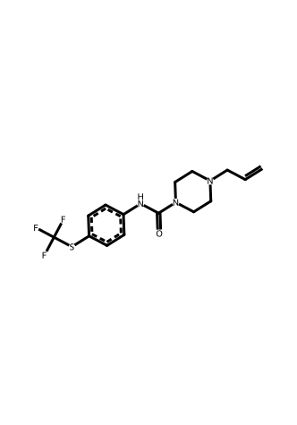 C=CCN1CCN(C(=O)Nc2ccc(SC(F)(F)F)cc2)CC1